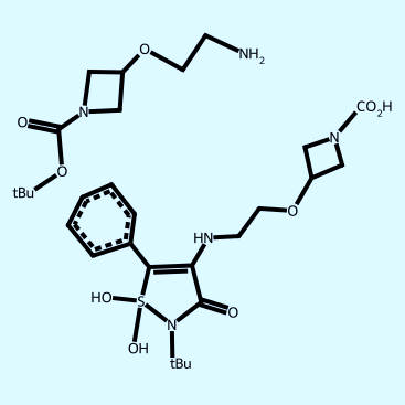 CC(C)(C)N1C(=O)C(NCCOC2CN(C(=O)O)C2)=C(c2ccccc2)S1(O)O.CC(C)(C)OC(=O)N1CC(OCCN)C1